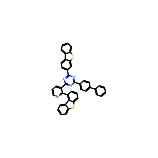 c1ccc(-c2ccc(-c3nc(-c4ccc5c(c4)sc4ccccc45)nc(-c4cccnc4-c4cccc5sc6ccccc6c45)n3)cc2)cc1